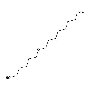 CCCCCCCCCCCCCCCCOCCCCCO